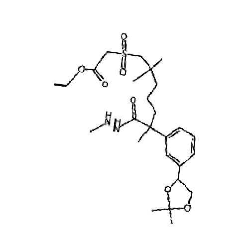 CCOC(=O)CS(=O)(=O)CC(C)(C)CCCC(C)(C(=O)NNC)c1cccc(C2COC(C)(C)O2)c1